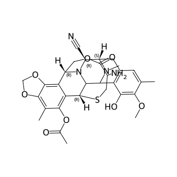 COc1c(C)cc2c(c1O)C1C3[C@@H]4SCC(N)C(=O)OC[C@@H](c5c6c(c(C)c(OC(C)=O)c54)OCO6)N3[C@@H](C#N)[C@H](C2)N1C